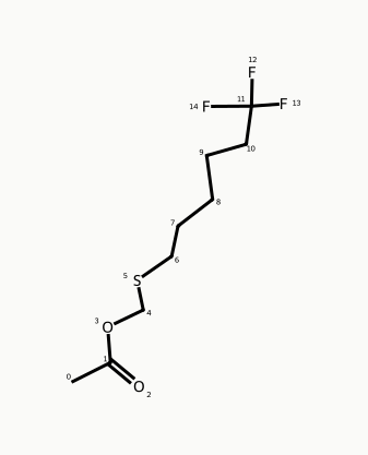 CC(=O)OCSCCCCCC(F)(F)F